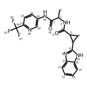 CC(NC(=O)C1CC1c1nc2ccccc2[nH]1)C(=O)Nc1ccc(C(F)(F)F)nc1